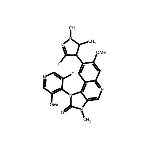 COc1cc2ncc3c(c2cc1C1C(F)=NN(C)C1C)n(-c1c(F)cncc1OC)c(=O)n3C